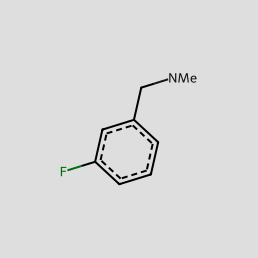 [CH2]NCc1cccc(F)c1